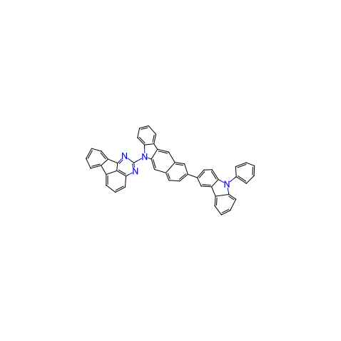 c1ccc(-n2c3ccccc3c3cc(-c4ccc5cc6c(cc5c4)c4ccccc4n6-c4nc5c6c(cccc6n4)-c4ccccc4-5)ccc32)cc1